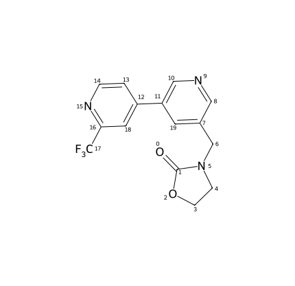 O=C1OCCN1Cc1cncc(-c2ccnc(C(F)(F)F)c2)c1